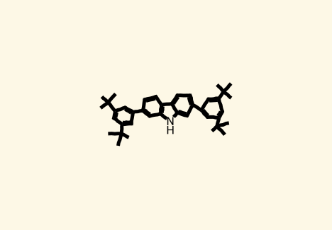 CC(C)(C)c1cc(-c2ccc3c(c2)[nH]c2cc(-c4cc(C(C)(C)C)cc(C(C)(C)C)c4)ccc23)cc(C(C)(C)C)c1